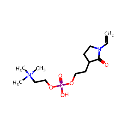 C=CN1CCC(CCOP(=O)(O)OCC[N+](C)(C)C)C1=O